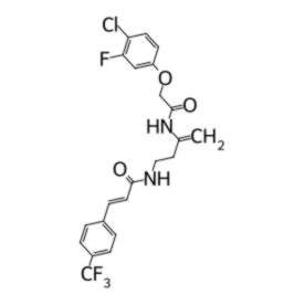 C=C(CCNC(=O)/C=C/c1ccc(C(F)(F)F)cc1)NC(=O)COc1ccc(Cl)c(F)c1